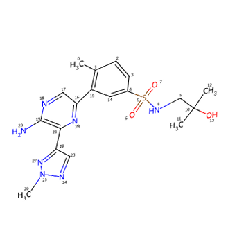 Cc1ccc(S(=O)(=O)NCC(C)(C)O)cc1-c1cnc(N)c(-c2cnn(C)n2)n1